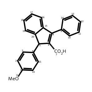 COc1ccc(C2C(C(=O)O)=C(c3ccccc3)c3ccccc32)cc1